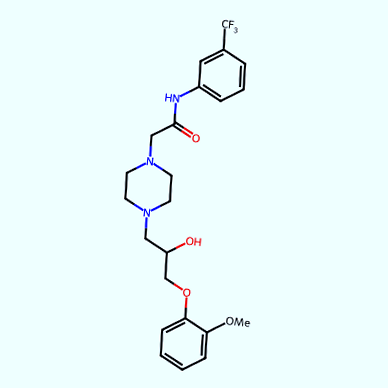 COc1ccccc1OCC(O)CN1CCN(CC(=O)Nc2cccc(C(F)(F)F)c2)CC1